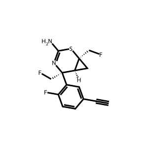 C#Cc1ccc(F)c([C@@]2(CF)N=C(N)S[C@@]3(CF)C[C@H]32)c1